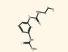 COC(=S)Nc1cccc(OC(=O)NCCCl)c1